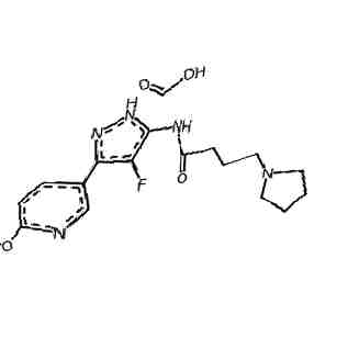 COc1ccc(-c2n[nH]c(NC(=O)CCCN3CCCC3)c2F)cn1.O=CO